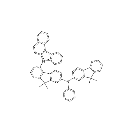 CC1(C)c2ccccc2-c2ccc(N(c3ccccc3)c3ccc4c(c3)C(C)(C)c3cccc(-n5c6ccccc6c6c7ccccc7ccc65)c3-4)cc21